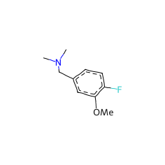 COc1cc(CN(C)C)ccc1F